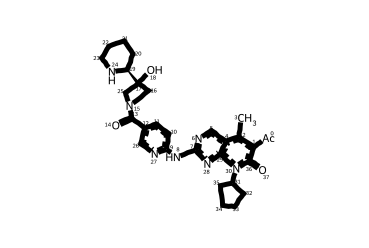 CC(=O)c1c(C)c2cnc(Nc3ccc(C(=O)N4CC(O)([C@@H]5CCCCN5)C4)cn3)nc2n(C2CCCC2)c1=O